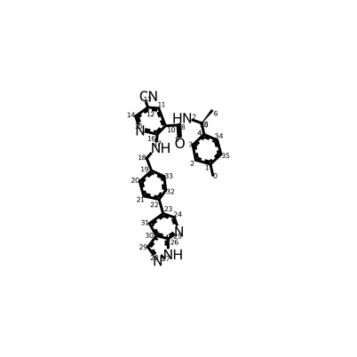 Cc1ccc([C@H](C)NC(=O)c2cc(C#N)cnc2NCc2ccc(-c3cnc4[nH]ncc4c3)cc2)cc1